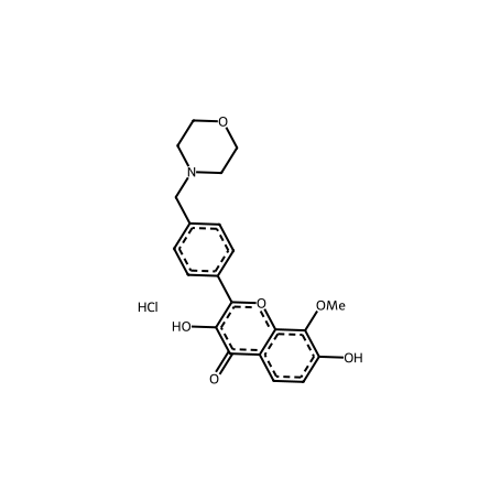 COc1c(O)ccc2c(=O)c(O)c(-c3ccc(CN4CCOCC4)cc3)oc12.Cl